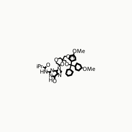 COc1ccc(C(OC[C@]2(CO)COC[C@H](n3cnc4c(=O)[nH]c(NC(=O)C(C)C)nc43)O2)(c2ccccc2)c2ccc(OC)cc2)cc1